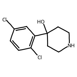 OC1(c2cc(Cl)ccc2Cl)CCNCC1